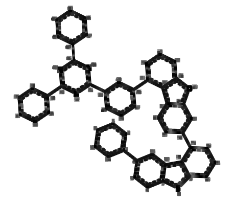 c1ccc(-c2ccc3sc4cccc(-c5ccc6c(c5)oc5cccc(-c7cccc(-c8nc(-c9ccccc9)nc(-c9ccccc9)n8)c7)c56)c4c3c2)cc1